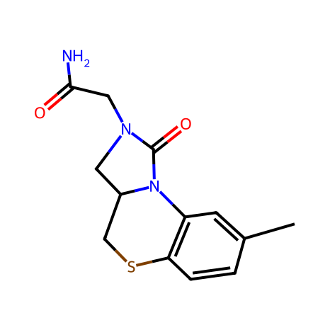 Cc1ccc2c(c1)N1C(=O)N(CC(N)=O)CC1CS2